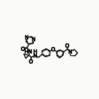 O=C(NC1(C(=O)NCc2ccc(Oc3cccc(C(=O)N4CCCC4)c3)cc2)CC1)c1cncnc1